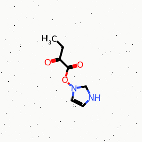 CCC(=O)C(=O)ON1C=CNC1